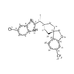 C[C@@H](c1nc2cc(Cl)ccc2[nH]1)[C@H]1CC[C@@]2(CC1)COc1cc(C(F)(F)F)ccc12